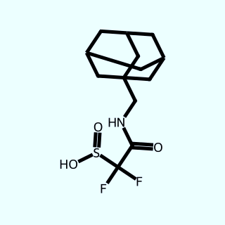 O=C(NCC12CC3CC(CC(C3)C1)C2)C(F)(F)S(=O)O